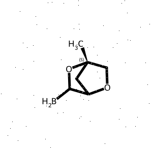 BC1O[C@]2(C)COC1C2